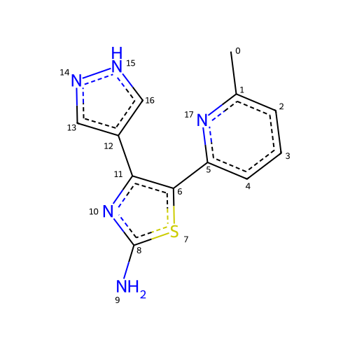 Cc1cccc(-c2sc(N)nc2-c2cn[nH]c2)n1